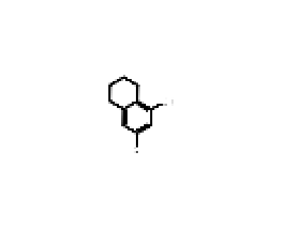 Oc1cc(S)cc2c1CCCC2